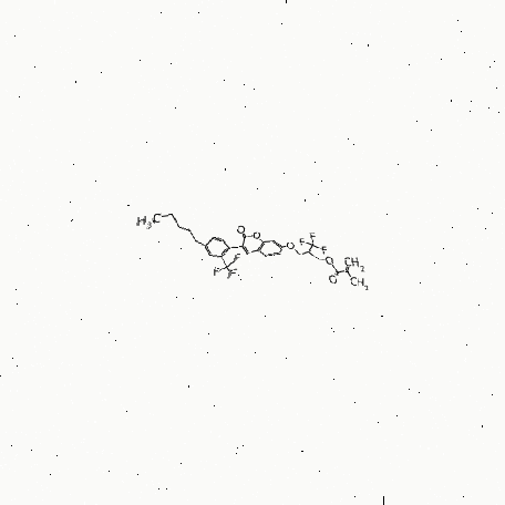 C=C(C)C(=O)OCC(COc1ccc2cc(-c3ccc(CCCCC)cc3C(F)(F)F)c(=O)oc2c1)C(F)(F)F